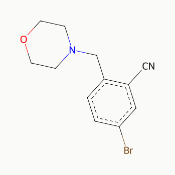 N#Cc1cc(Br)ccc1CN1CCOCC1